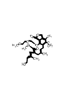 COCCOCOc1c(C/C=C(\C)CC(C/C(C)=C/CO)C(=O)OC)c(OC)c(C)c2c1C(=O)OC2